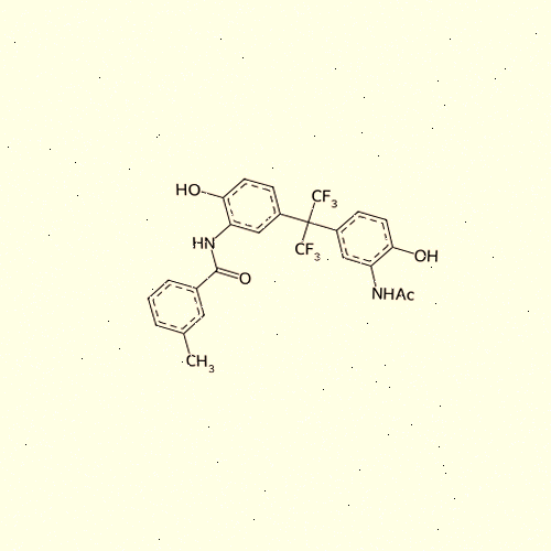 CC(=O)Nc1cc(C(c2ccc(O)c(NC(=O)c3cccc(C)c3)c2)(C(F)(F)F)C(F)(F)F)ccc1O